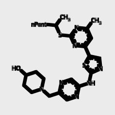 CCCCCC(C)Sc1nc(C)cc(-c2cnc(Nc3cnc(CN4CCC(O)CC4)cn3)s2)n1